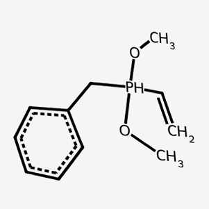 C=C[PH](Cc1ccccc1)(OC)OC